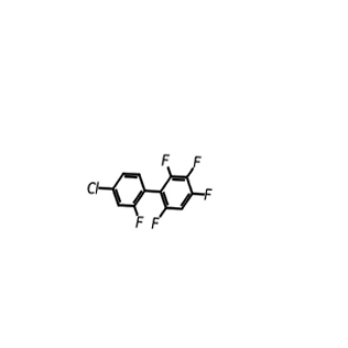 Fc1cc(Cl)ccc1-c1c(F)cc(F)c(F)c1F